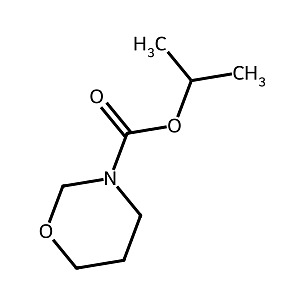 CC(C)OC(=O)N1CCCOC1